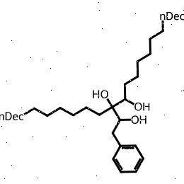 CCCCCCCCCCCCCCCCC(O)C(O)(CCCCCCCCCCCCCCCC)C(O)Cc1ccccc1